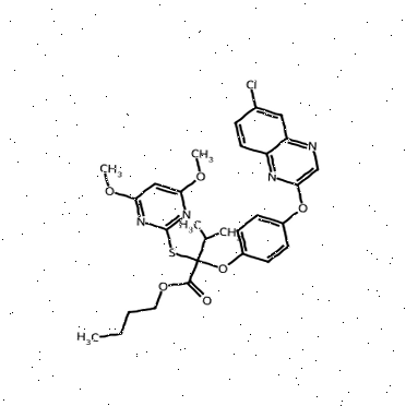 CCCCOC(=O)C(Oc1ccc(Oc2cnc3cc(Cl)ccc3n2)cc1)(Sc1nc(OC)cc(OC)n1)C(C)C